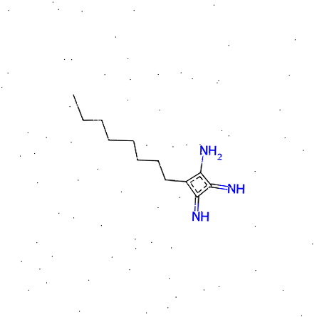 CCCCCCCCc1c(N)c(=N)c1=N